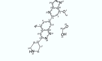 COc1cc(-c2cc(F)c3cc(C4CCNCC4)nnc3c2)nc2cn(C)nc12.O=CO